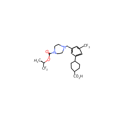 CC(OC(=O)N1CCN(Cc2cc(C3CCC(C(=O)O)CC3)cc(C(F)(F)F)c2)CC1)C(F)(F)F